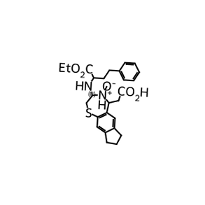 CCOC(=O)C(CCc1ccccc1)N[C@H]1CSc2cc3c(cc2C(CC(=O)O)[NH+]1[O-])CCC3